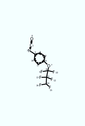 O=C=Nc1ccc(OC(F)(F)C(F)(F)C(F)F)cc1